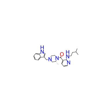 CC(C)CCNc1ncccc1C(=O)N1CCN(Cc2c[nH]c3ccccc23)C[C@H]1C